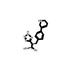 CCC[C@H](C(C)=O)[C@H](Cc1ccc(C2=CCCNC2)cc1)c1nn[nH]n1